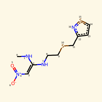 CNC(=C[N+](=O)[O-])NCCSCc1ccsn1